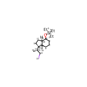 CC[Si](CC)(CC)O[C@H]1CCC[C@]2(C)[C@@H]([C@H](C)CI)CC[C@@H]12